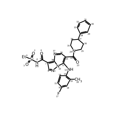 CCS(=O)(=O)NC(=O)c1cnn2c(Nc3ccc(F)cc3C)c(C(=O)N3CCC(c4ccccc4)CC3)cnc12